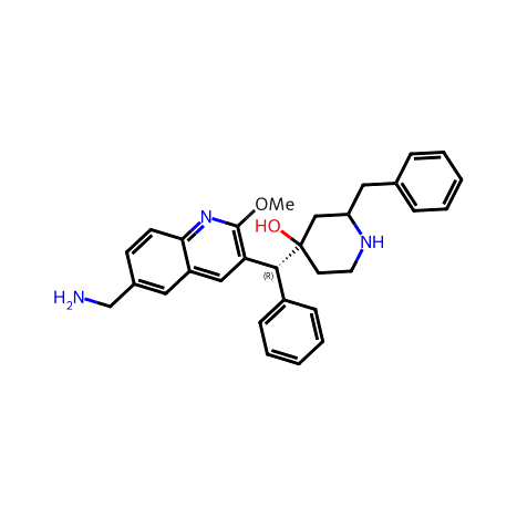 COc1nc2ccc(CN)cc2cc1[C@@H](c1ccccc1)C1(O)CCNC(Cc2ccccc2)C1